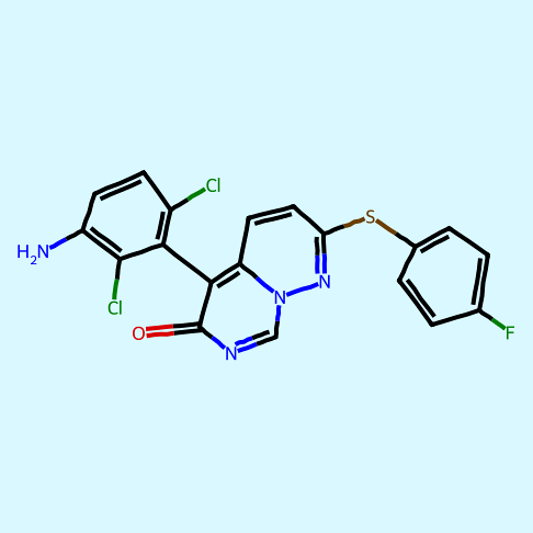 Nc1ccc(Cl)c(-c2c(=O)ncn3nc(Sc4ccc(F)cc4)ccc23)c1Cl